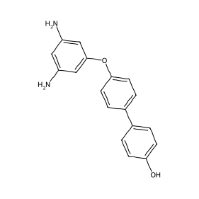 Nc1cc(N)cc(Oc2ccc(-c3ccc(O)cc3)cc2)c1